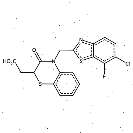 O=C(O)CC1Sc2ccccc2N(Cc2nc3ccc(Cl)c(F)c3s2)C1=O